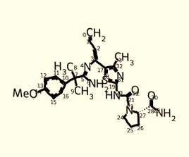 C=C/C=C(\N=C(/N)C(C)(C)c1ccc(OC)cc1)c1sc(NC(=O)N2CCC[C@H]2C(N)=O)nc1C